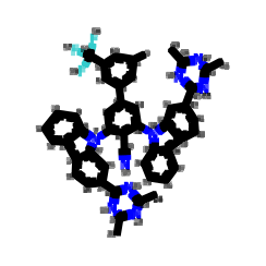 Cc1cc(-c2cc(-n3c4ccccc4c4ccc(-c5nc(C)nc(C)n5)cc43)c(C#N)c(-n3c4ccccc4c4ccc(-c5nc(C)nc(C)n5)cc43)c2)cc(C(F)(F)F)c1